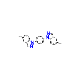 Cc1ccc2c(cnn2-c2ccc(-n3ncc4cc(C)ccc43)cc2)c1